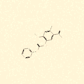 COc1cc(C)c(C(C)=O)cc1NC(=S)Oc1ccccc1